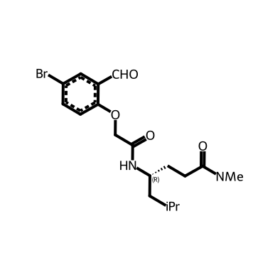 CNC(=O)CC[C@H](CC(C)C)NC(=O)COc1ccc(Br)cc1C=O